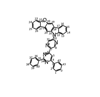 c1ccc(-c2cc(-c3cnc(-n4c5ccccc5c5cc6oc7ccccc7c6cc54)cn3)nc(-c3ccccc3)n2)cc1